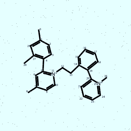 Cc1ccc(-c2cc(C)cc[n+]2CCc2ccccc2-c2cccc[n+]2C)c(C)c1